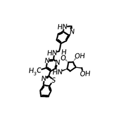 Cc1nc(NCc2ccc3[nH]cnc3c2)nc(N[C@@H]2C[C@H](CO)[C@@H](O)[C@H]2O)c1-c1nc2ccccc2s1